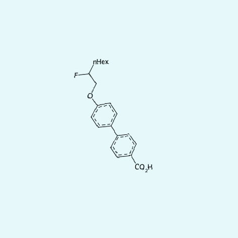 CCCCCCC(F)COc1ccc(-c2ccc(C(=O)O)cc2)cc1